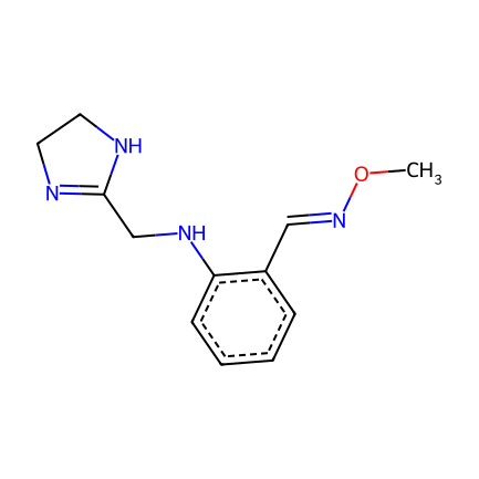 CON=Cc1ccccc1NCC1=NCCN1